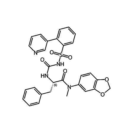 CN(C(=O)[C@H](Cc1ccccc1)NC(=O)NS(=O)(=O)c1ccccc1-c1cccnc1)c1ccc2c(c1)OCO2